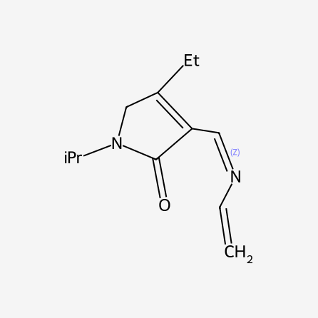 C=C/N=C\C1=C(CC)CN(C(C)C)C1=O